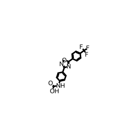 O=C(O)Nc1ccc(-c2noc(-c3ccc(C(F)(F)F)cc3)n2)cc1